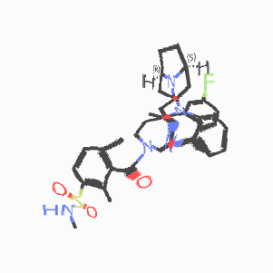 CNS(=O)(=O)c1ccc(C)c(C(=O)N2CCC(CCN3[C@@H]4CC[C@H]3CC(n3c(C)nc5ccccc53)C4)(c3cccc(F)c3)CC2)c1C